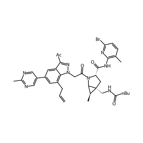 C=CCc1cc(-c2cnc(C)nc2)cc2c(C(C)=O)nn(CC(=O)N3C4[C@H](C)[C@]4(CNC(=O)CCCC)C[C@H]3C(=O)Nc3nc(Br)ccc3C)c12